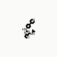 c1cc(-c2ccc(Nc3nc(NC4CC4)c4occc4n3)cc2)ccn1